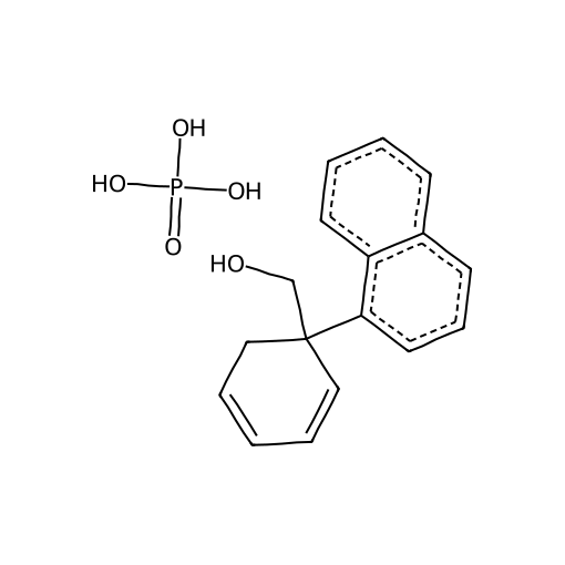 O=P(O)(O)O.OCC1(c2cccc3ccccc23)C=CC=CC1